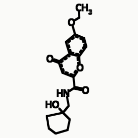 CCOc1ccc2oc(C(=O)NCC3(O)CCCCC3)cc(=O)c2c1